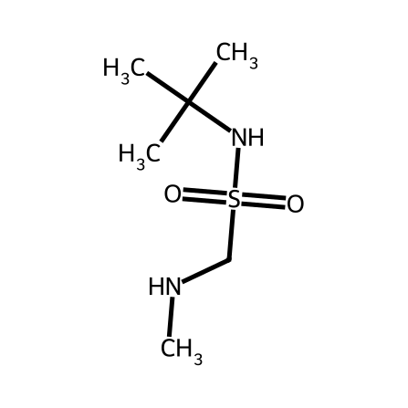 CNCS(=O)(=O)NC(C)(C)C